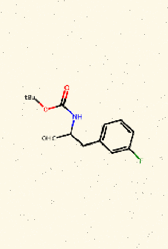 CC(C)(C)OC(=O)NC(C=O)Cc1cccc(F)c1